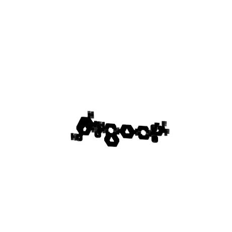 O=C(NC1[C@@H]2CC3C[C@H]1CC(O)(C3)C2)N1CCN(c2ccc(N3CCN(S(=O)(=O)CC(F)(F)F)CC3)cc2)c2ccccc21